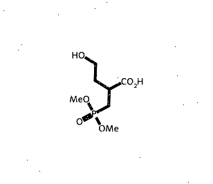 COP(=O)(CC(CCO)C(=O)O)OC